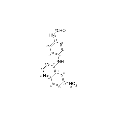 O=CNc1ccc(Nc2ncnc3ccc([N+](=O)[O-])cc23)cc1